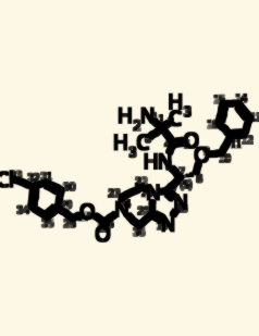 CC(C)(N)C(=O)N[C@H](COCc1ccccc1)c1nnc2n1CCN(C(=O)OCc1ccc(Cl)cc1)C2